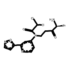 CC(C)[C@H](N)C(=O)CCN(C(=O)C(Cl)Cl)c1ccnc(-c2ccno2)c1